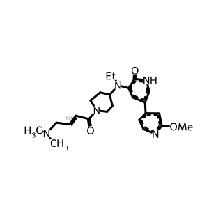 CCN(c1cc(-c2ccnc(OC)c2)c[nH]c1=O)C1CCN(C(=O)/C=C/CN(C)C)CC1